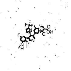 CCNc1cc(F)cc2c1[nH]c1ncc(-c3cc(C)c4ncc(C(=O)O)c(=O)n4c3)c(-n3ccc(C(F)(F)F)n3)c12